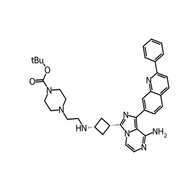 CC(C)(C)OC(=O)N1CCN(CCN[C@H]2C[C@@H](c3nc(-c4ccc5ccc(-c6ccccc6)nc5c4)c4c(N)nccn43)C2)CC1